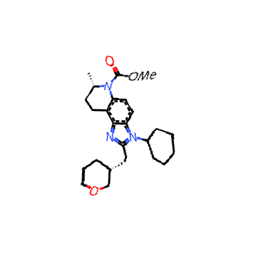 COC(=O)N1c2ccc3c(nc(C[C@H]4CCCOC4)n3C3CCCCC3)c2CC[C@@H]1C